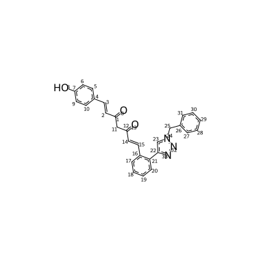 O=C(/C=C/c1ccc(O)cc1)CC(=O)/C=C/c1ccccc1-c1cn(Cc2ccccc2)nn1